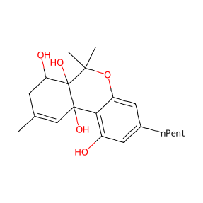 CCCCCc1cc(O)c2c(c1)OC(C)(C)C1(O)C(O)CC(C)=CC21O